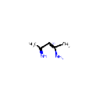 CC(=N)/C=C(/C)N